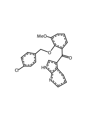 COc1cccc(C(=O)c2c[nH]c3ncccc23)c1OCc1ccc(Cl)cc1